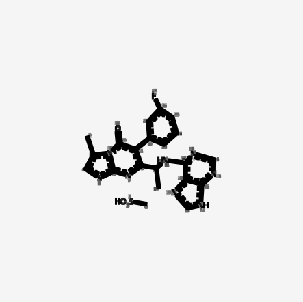 CS(=O)(=O)O.Cc1csc2nc(C(C)Nc3ncnc4[nH]cnc34)c(-c3cccc(F)c3)c(=O)n12